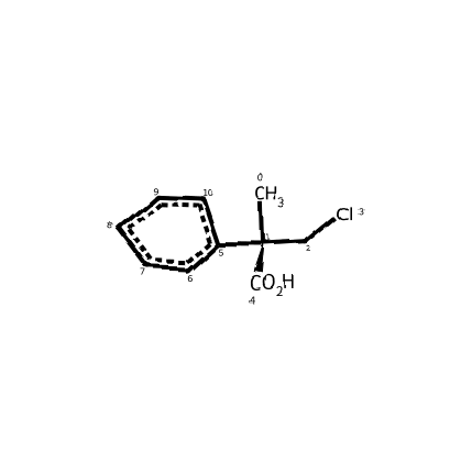 C[C@@](CCl)(C(=O)O)c1ccccc1